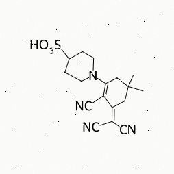 CC1(C)CC(=C(C#N)C#N)C(C#N)=C(N2CCC(S(=O)(=O)O)CC2)C1